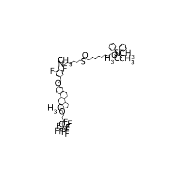 CN(CCCCCCSC(=O)CCCCCCCCO[Si](c1ccccc1)(c1ccccc1)C(C)(C)C)Cc1c(F)cc(COc2ccc3c(c2)CCC2C3CC[C@@]3(C)C2CC[C@@H]3OCCCOC(C(F)(F)F)(C(F)(F)F)C(F)(F)F)cc1F